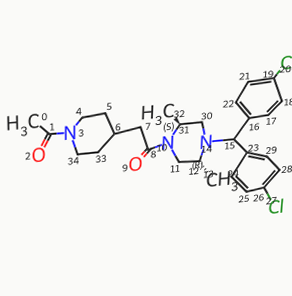 CC(=O)N1CCC(CC(=O)N2C[C@@H](C)N(C(c3ccc(Cl)cc3)c3ccc(Cl)cc3)C[C@@H]2C)CC1